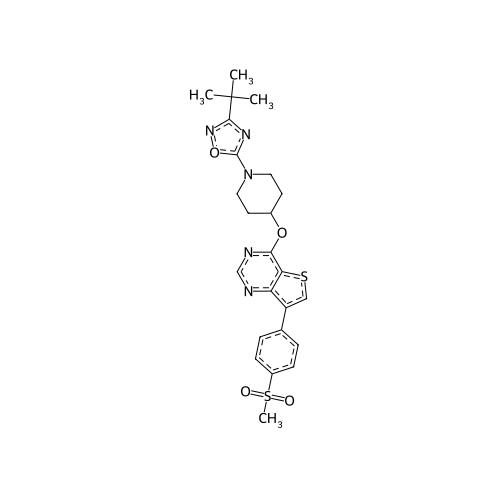 CC(C)(C)c1noc(N2CCC(Oc3ncnc4c(-c5ccc(S(C)(=O)=O)cc5)csc34)CC2)n1